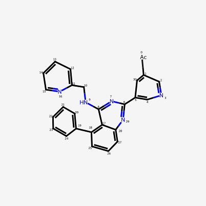 CC(=O)c1cncc(-c2nc(NCc3ccccn3)c3c(-c4ccccc4)cccc3n2)c1